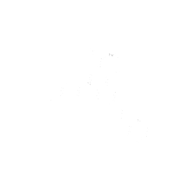 NC(=O)c1cn(-c2ccc(F)cc2)c2ccc(CCc3ccccn3)cc2c1=O